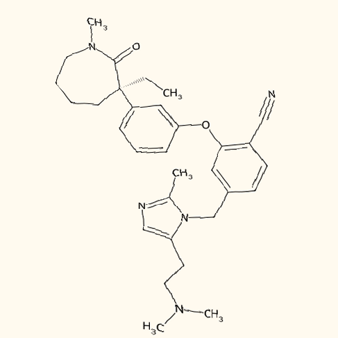 CC[C@]1(c2cccc(Oc3cc(Cn4c(CCN(C)C)cnc4C)ccc3C#N)c2)CCCCN(C)C1=O